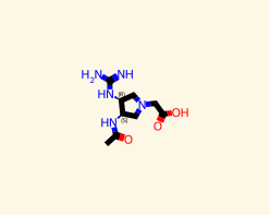 CC(=O)N[C@H]1CN(CC(=O)O)C[C@H]1NC(=N)N